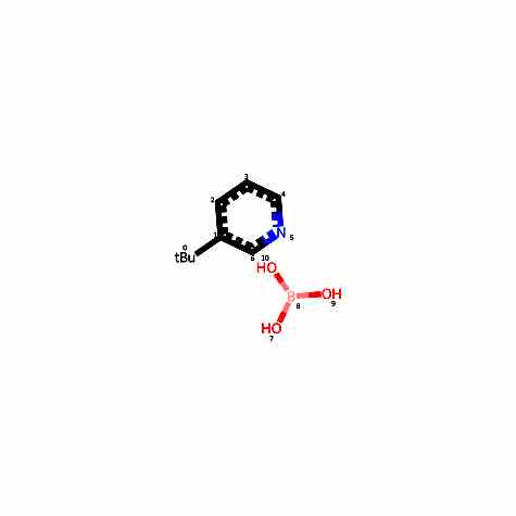 CC(C)(C)c1cccnc1.OB(O)O